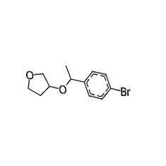 CC(OC1CCOC1)c1ccc(Br)cc1